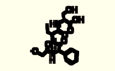 CC[C@H](NC(=O)[C@H](NC(=O)C[O])c1ccccc1)C(=O)N[C@@H](CO)C(=O)O